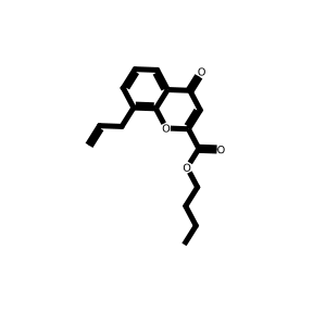 C=CCc1[c]ccc2c(=O)cc(C(=O)OCCCC)oc12